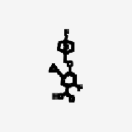 O=C(O)c1cc(C2CC2)c(OCC23CCC(F)(CC2)CC3)cc1F